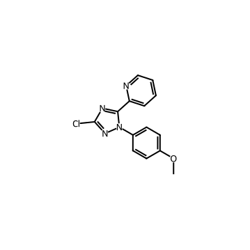 COc1ccc(-n2nc(Cl)nc2-c2ccccn2)cc1